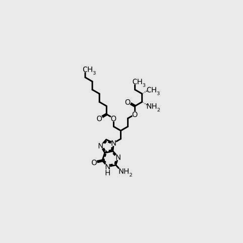 CCCCCCCC(=O)OCC(CCOC(=O)[C@@H](N)[C@@H](C)CC)Cn1cnc2c(=O)[nH]c(N)nc21